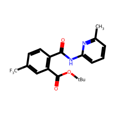 Cc1cccc(NC(=O)c2ccc(C(F)(F)F)cc2C(=O)OC(C)(C)C)n1